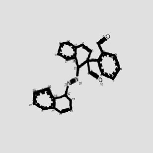 O=Cc1ccccc1C1(C=O)C=Cc2ccccc2C1N=NC1CC=Cc2ccccc21